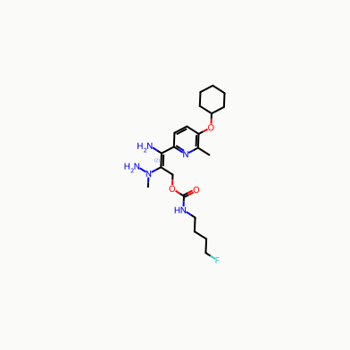 Cc1nc(/C(N)=C(\COC(=O)NCCCCF)N(C)N)ccc1OC1CCCCC1